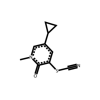 Cn1cc(C2CC2)cc(SC#N)c1=O